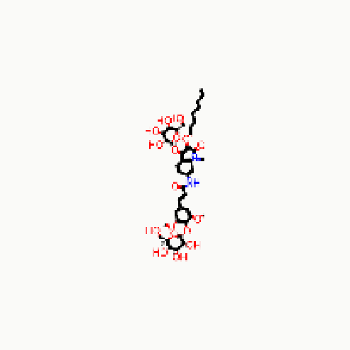 CCCCCCCCOc1c(O[C@H]2O[C@H](CO)[C@@H](O)[C@H](O)[C@@H]2O)c2ccc(NC(=O)C=Cc3cc(OC)c(O[C@H]4O[C@H](CO)[C@@H](O)[C@H](O)[C@@H]4O)c(OC)c3)cc2n(C)c1=O